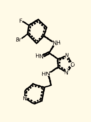 N=C(Nc1ccc(F)c(Br)c1)c1nonc1NCc1ccncc1